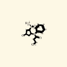 CN(C)C1CC(Cl)CC1N(C(=O)CCCl)c1ccccc1